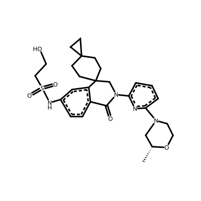 C[C@@H]1CN(c2cccc(N3CC4(CCC5(CC5)CC4)c4cc(NS(=O)(=O)CCO)ccc4C3=O)n2)CCO1